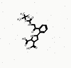 CC(C)(C)OC(=O)NCC(=O)c1ccccc1C1CC(C(=O)O)C(C(=O)O)N1